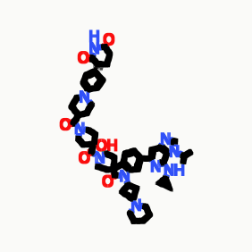 CC(C)n1cnc2cc(-c3ccc4c(c3)N(C3CC(N5CCCCC5)C3)C(=O)C43CCN(C(=O)C4(O)CCN(C(=O)C5CCN(c6ccc([C@H]7CCC(=O)NC7=O)cc6)CC5)CC4)CC3)nc(NC3CC3)c21